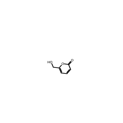 O=c1cccc(CO)o1